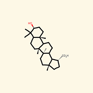 CC1(C)C2CC[C@]3(C)C(CCC4C5[C@H](C(=O)O)CC[C@]5(C)CC[C@]43C)[C@@]2(C)CC[C@@H]1O